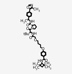 Cc1ncoc1-c1ccc([C@H](C)NC(=O)[C@@H]2CCCN2C(=O)[C@@H](NC(=O)COCCCCOc2ccc(C(=O)NC3C(C)(C)CC3(C)C)cc2)C(C)(C)C)cc1